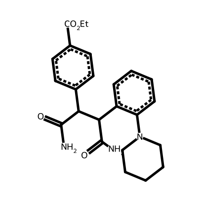 CCOC(=O)c1ccc(C(C(N)=O)C(C(N)=O)c2ccccc2N2CCCCC2)cc1